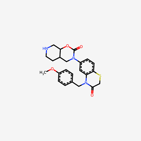 COc1ccc(CN2C(=O)CSc3ccc(N4CC5CCNCC5OC4=O)cc32)cc1